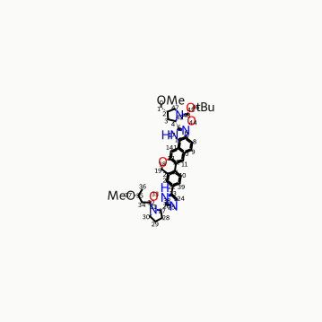 COC[C@H]1C[C@@H](c2nc3ccc4cc5c(cc4c3[nH]2)OCc2cc(-c3cnc([C@@H]4CCCN4C(=O)C[C@@H](C)OC)[nH]3)ccc2-5)N(C(=O)OC(C)(C)C)C1